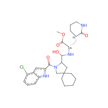 COC(=O)[C@H](C[C@@H]1CCCNC1=O)NC(O)C1CC2(CCCCC2)CN1C(=O)c1cc2c(Cl)cccc2[nH]1